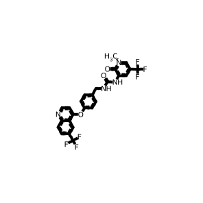 Cn1cc(C(F)(F)F)cc(NC(=O)NCc2ccc(Oc3ccnc4ccc(C(F)(F)F)cc34)cc2)c1=O